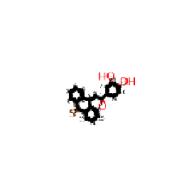 O=C(C=C1c2ccccc2C(=S)c2ccccc21)c1ccc(O)c(O)c1